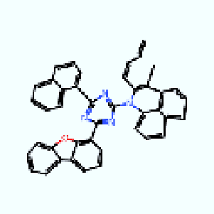 C=C/C=C\C1=C(C)c2cccc3cccc(c23)N1c1nc(-c2cccc3ccccc23)nc(-c2cccc3c2oc2ccccc23)n1